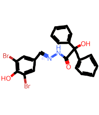 O=C(N/N=C/c1cc(Br)c(O)c(Br)c1)C(O)(c1ccccc1)c1ccccc1